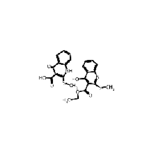 CCOC(=O)c1c(SC)nc2ccccc2c1O.CSc1[nH]c2ccccc2c(=O)c1C(=O)O